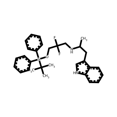 CC(Cc1c[nH]c2ccccc12)NCC(F)(F)CO[Si](c1ccccc1)(c1ccccc1)C(C)(C)C